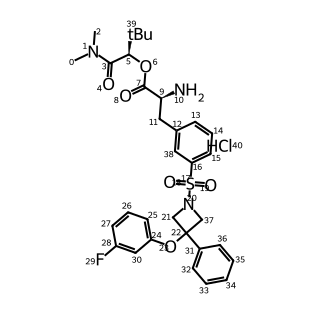 CN(C)C(=O)[C@H](OC(=O)[C@@H](N)Cc1cccc(S(=O)(=O)N2CC(Oc3cccc(F)c3)(c3ccccc3)C2)c1)C(C)(C)C.Cl